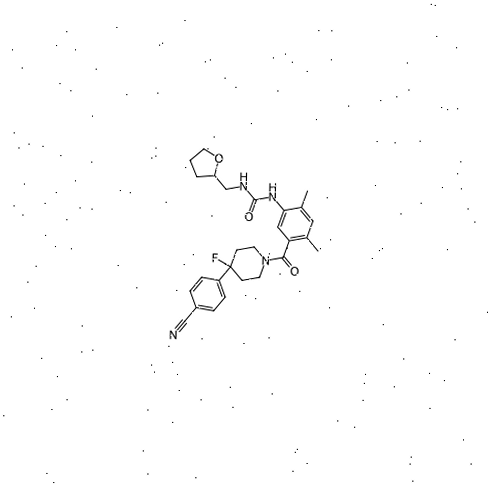 Cc1cc(C)c(C(=O)N2CCC(F)(c3ccc(C#N)cc3)CC2)cc1NC(=O)NCC1CCCO1